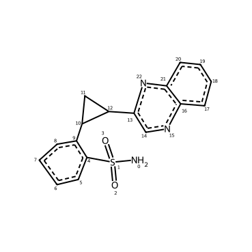 NS(=O)(=O)c1ccccc1C1CC1c1cnc2ccccc2n1